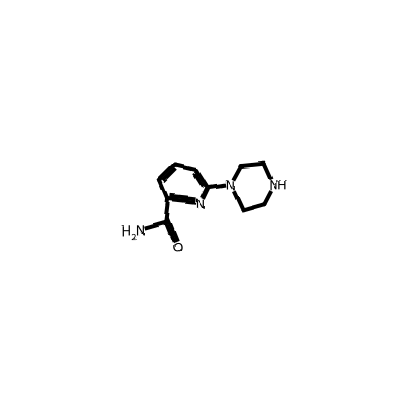 NC(=O)c1cccc(N2CCNCC2)n1